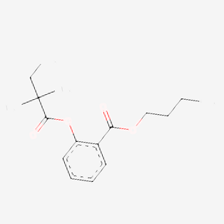 CCCCOC(=O)c1ccccc1OC(=O)C(C)(C)CC